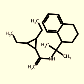 C=C(NC(C)(C)C1CCCc2ccccc21)C1C(CC)C1CC